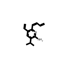 C=C/C=C\c1nc(N)c(C(C)C)cc1C=C